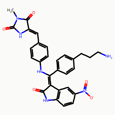 CN1C(=O)N/C(=C\c2ccc(N/C(=C3\C(=O)Nc4ccc([N+](=O)[O-])cc43)c3ccc(CCCN)cc3)cc2)C1=O